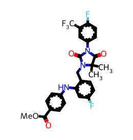 COC(=O)c1ccc(Nc2cc(F)ccc2CN2C(=O)N(c3ccc(F)c(C(F)(F)F)c3)C(=O)C2(C)C)cc1